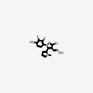 CCc1nn(-c2ccc(O)c(F)c2F)c(-c2cccn2C)c1C=NO